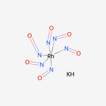 O=[N][Rh]([N]=O)([N]=O)([N]=O)([N]=O)[N]=O.[KH]